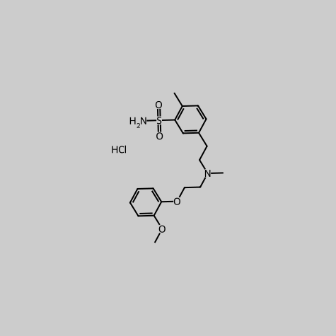 COc1ccccc1OCCN(C)CCc1ccc(C)c(S(N)(=O)=O)c1.Cl